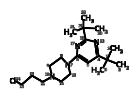 CC(C)(C)c1cc(N2CCN(CCCCl)CC2)nc(C(C)(C)C)n1